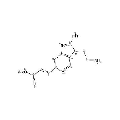 CCCc1nc2cc(C=CC(=O)OC)ccc2n1CCN